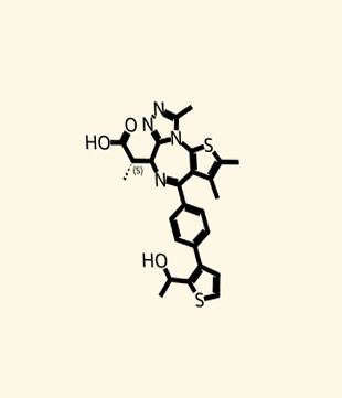 Cc1sc2c(c1C)C(c1ccc(-c3ccsc3C(C)O)cc1)=NC([C@H](C)C(=O)O)c1nnc(C)n1-2